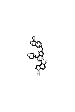 O=C1OCC2CN(Cc3cc4nc(-c5c(F)ccc6[nH]ccc56)nc(N5CCOCC5)c4s3)CCN12